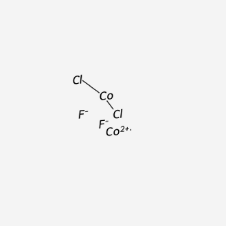 [Cl][Co][Cl].[Co+2].[F-].[F-]